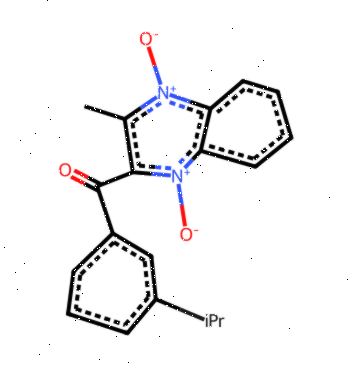 Cc1c(C(=O)c2cccc(C(C)C)c2)[n+]([O-])c2ccccc2[n+]1[O-]